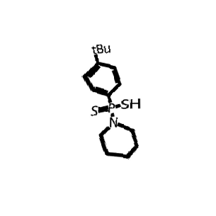 CC(C)(C)c1ccc(P(=S)(S)N2CCCCC2)cc1